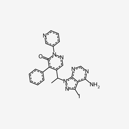 CC(c1cnn(-c2cccnc2)c(=O)c1-c1ccccc1)n1nc(I)c2c(N)ncnc21